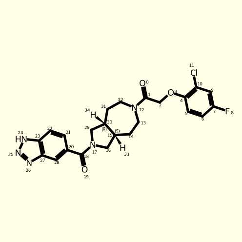 O=C(COc1ccc(F)cc1Cl)N1CC[C@@H]2CN(C(=O)c3ccc4[nH]nnc4c3)C[C@@H]2CC1